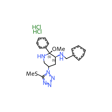 CO[C@]1(c2ccccc2)NCC(n2nnnc2SC)C[C@@H]1NCc1ccccc1.Cl.Cl